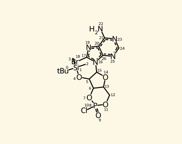 CC(C)(C)[Si](C)(C)OC1C2OP(=O)(Cl)OCC2OC1n1c(Br)nc2c(N)ncnc21